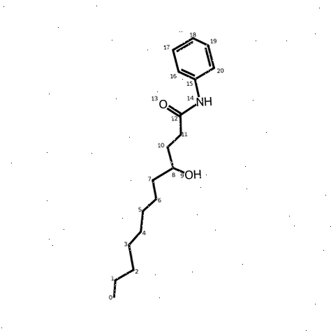 CCCCCCCCC(O)CCC(=O)Nc1ccccc1